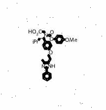 COc1ccc(OC(=O)N(CC(=O)O)[C@@H](CC(C)C)c2ccc(OCCc3[nH]c(-c4ccccc4)nc3C)cc2)cc1